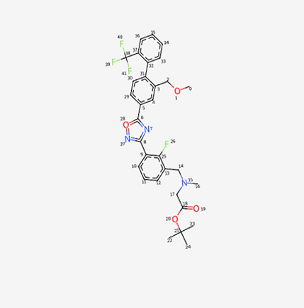 COCc1cc(-c2nc(-c3cccc(CN(C)CC(=O)OC(C)(C)C)c3F)no2)ccc1-c1ccccc1C(F)(F)F